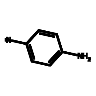 [N]c1ccc(N)cc1